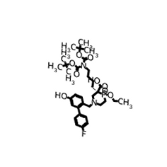 CCOP1(=O)CCN(Cc2ccc(O)cc2-c2ccc(F)cc2)C[C@@]1(CCCCN(C(=O)OC(C)(C)C)C(=O)OC(C)(C)C)C(=O)O